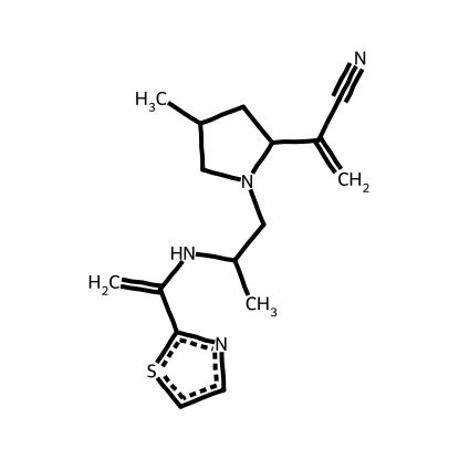 C=C(NC(C)CN1CC(C)CC1C(=C)C#N)c1nccs1